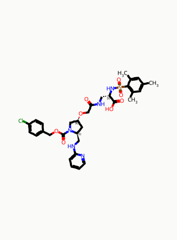 Cc1cc(C)c(S(=O)(=O)N[C@@H](CNC(=O)CO[C@@H]2C[C@@H](CNc3ccccn3)N(C(=O)OCc3ccc(Cl)cc3)C2)C(=O)O)c(C)c1